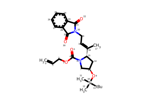 C=CCOC(=O)N1C[C@H](O[Si](C)(C)C(C)(C)C)C[C@H]1/C(C)=C/CN1C(=O)c2ccccc2C1=O